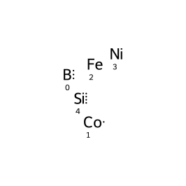 [B].[Co].[Fe].[Ni].[Si]